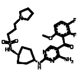 COc1ccc(F)c(F)c1C(=O)c1cnc(N[C@H]2CC[C@H](NS(=O)(=O)CCCN3CCCC3)CC2)nc1N